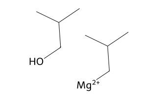 CC(C)CO.CC(C)[CH2][Mg+2]